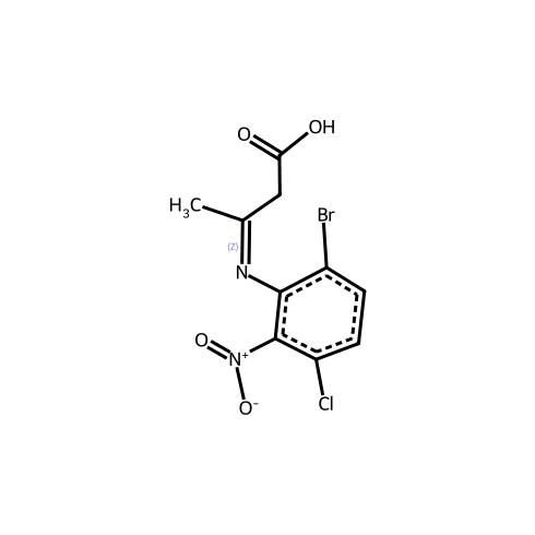 C/C(CC(=O)O)=N/c1c(Br)ccc(Cl)c1[N+](=O)[O-]